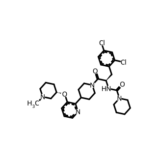 CN1CCC[C@H](Oc2cccnc2C2CCN(C(=O)[C@@H](Cc3ccc(Cl)cc3Cl)NC(=O)N3CCCCC3)CC2)C1